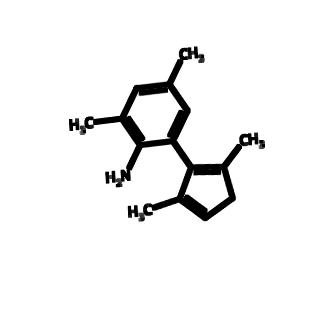 CC1=CCC(C)=C1c1cc(C)cc(C)c1N